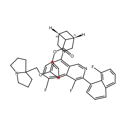 O=C(Oc1ccc(F)cc1)C1[C@@H]2C[C@H]1CN(c1nc(OCC34CCCN3CCC4)nc3c(F)c(-c4cccc5cccc(F)c45)ncc13)C2